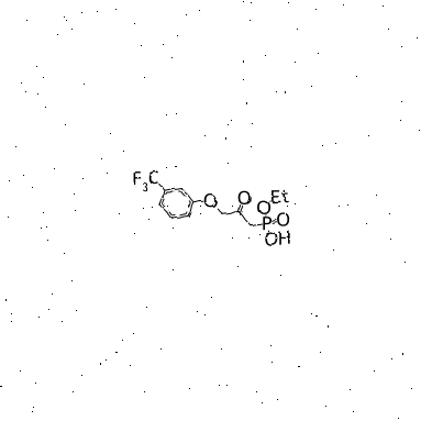 CCOP(=O)(O)CC(=O)COc1cccc(C(F)(F)F)c1